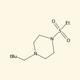 CCS(=O)(=O)N1CCN(CC(C)(C)C)CC1